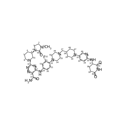 CN1CCN([C@@H]2CCCN(c3nnc(C(N)=O)c(Nc4ccc(N5CCN(CC6CCN(c7ccc(NC8CCC(=O)NC8=O)nc7)CC6)CC5)c(F)c4)n3)C2)C1=O